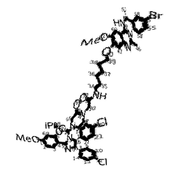 COc1ccc(C2=N[C@@H](c3ccc(Cl)cc3)[C@@H](c3ccc(Cl)cc3)N2C(=O)N2CCN(CC(=O)NCCCCCCOc3cc4nc(C)nc(N[C@H](C)c5cccc(Br)c5)c4cc3OC)C(=O)C2)c(OC(C)C)c1